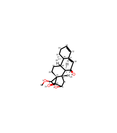 COC1OC2C[C@H]3[C@@H]4C(=O)C=C5C=CCC[C@]5(C)[C@H]4CC[C@@]13C2=O